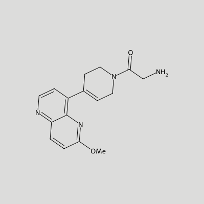 COc1ccc2nccc(C3=CCN(C(=O)CN)CC3)c2n1